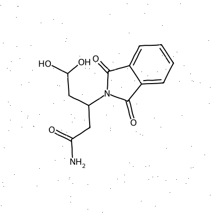 NC(=O)CC(CC(O)O)N1C(=O)c2ccccc2C1=O